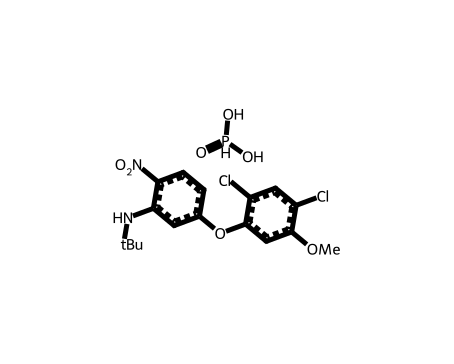 COc1cc(Oc2ccc([N+](=O)[O-])c(NC(C)(C)C)c2)c(Cl)cc1Cl.O=[PH](O)O